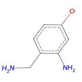 NCc1ccc([O])cc1N